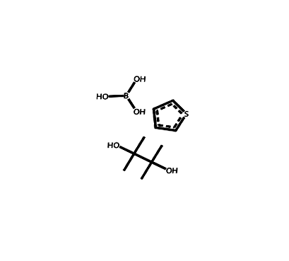 CC(C)(O)C(C)(C)O.OB(O)O.c1ccsc1